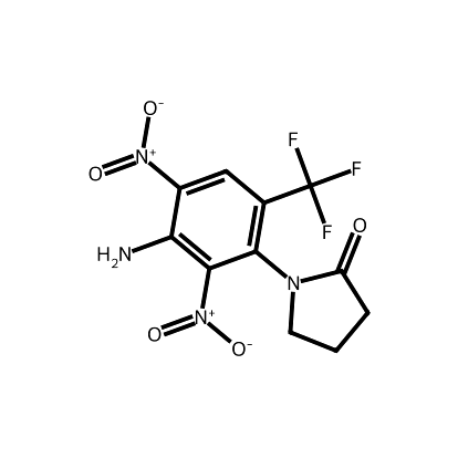 Nc1c([N+](=O)[O-])cc(C(F)(F)F)c(N2CCCC2=O)c1[N+](=O)[O-]